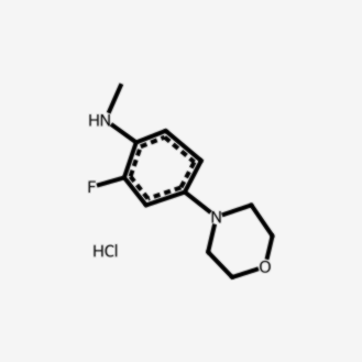 CNc1ccc(N2CCOCC2)cc1F.Cl